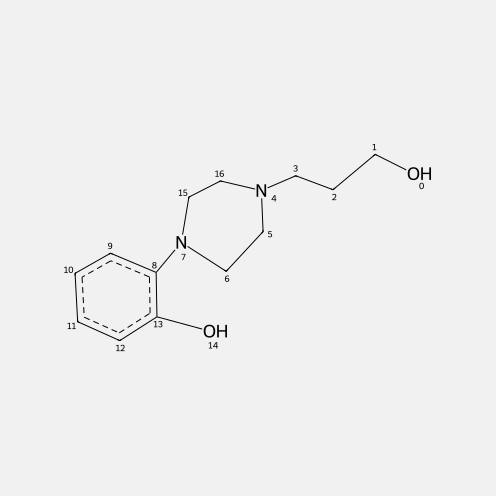 OCCCN1CCN(c2ccccc2O)CC1